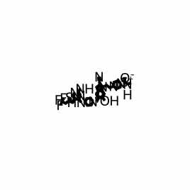 CN[S+]([O-])N1CCN(CCn2c(C#N)cc3cc(CN4CCC(Nc5nc(N)nc6sc(CC(F)(F)F)cc56)CC4)c(O)cc32)CC1